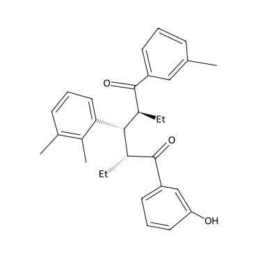 CC[C@H](C(=O)c1cccc(C)c1)[C@@H](c1cccc(C)c1C)[C@@H](CC)C(=O)c1cccc(O)c1